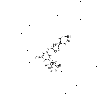 Clc1cc(Cc2nc(N3CCNCC3)no2)cc(C2C[C@@H]3CC[C@H]2C3)c1